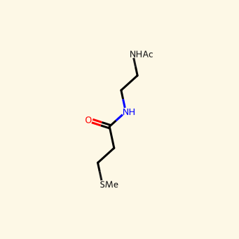 CSCCC(=O)NCCNC(C)=O